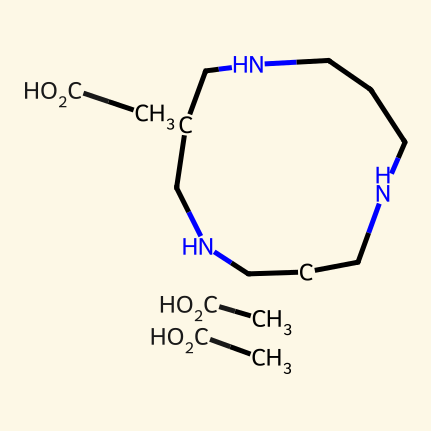 C1CNCCCNCCCNC1.CC(=O)O.CC(=O)O.CC(=O)O